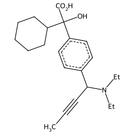 CC#CC(c1ccc(C(O)(C(=O)O)C2CCCCC2)cc1)N(CC)CC